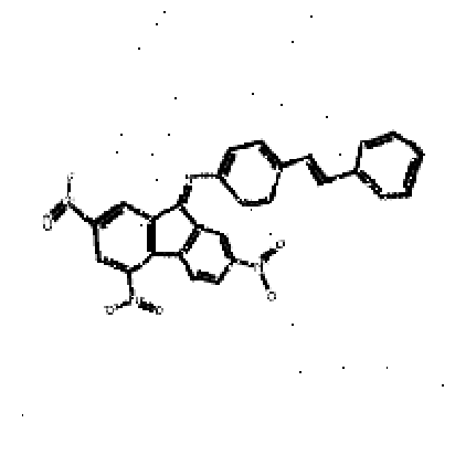 O=[N+]([O-])c1ccc2c(c1)C(=Nc1ccc(C=Cc3ccccc3)cc1)c1cc([N+](=O)[O-])cc([N+](=O)[O-])c1-2